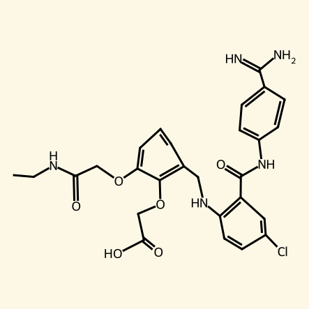 CCNC(=O)COc1cccc(CNc2ccc(Cl)cc2C(=O)Nc2ccc(C(=N)N)cc2)c1OCC(=O)O